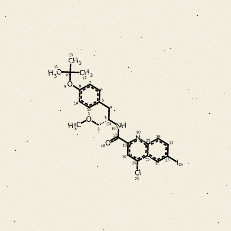 COC[C@H](Cc1ccc(OC(C)(C)C)cc1)NC(=O)c1cc(Cl)c2cc(I)ccc2n1